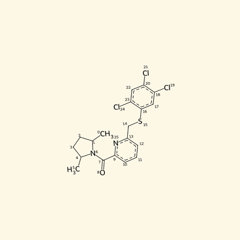 CC1CCC(C)N1C(=O)c1cccc(CSc2cc(Cl)c(Cl)cc2Cl)n1